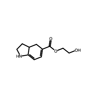 O=C(OCCO)C1=CC=C2NCCC2C1